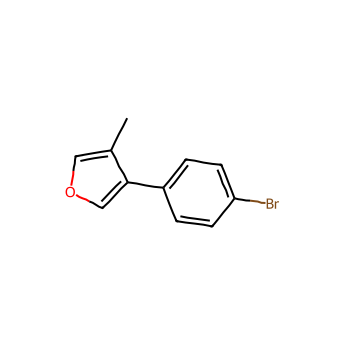 Cc1cocc1-c1ccc(Br)cc1